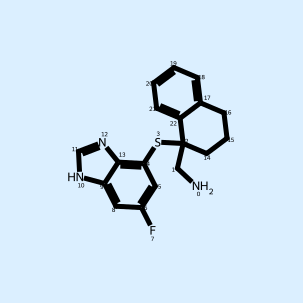 NCC1(Sc2cc(F)cc3[nH]cnc23)CCCc2ccccc21